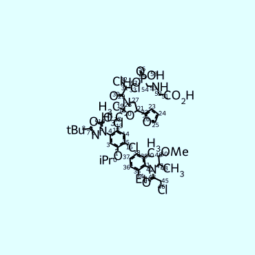 CC(C)Oc1cc(-n2nc(C(C)(C)C)oc2=O)c(Cl)cc1Cl.CC1(C)OC(c2ccco2)CN1C(=O)C(Cl)Cl.CCc1cccc(C)c1N(C(=O)CCl)C(C)COC.O=C(O)CNCP(=O)(O)O